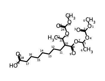 COC(=O)OC(C)OC(=O)C(CCCCCCCC(=O)O)C(C)OC(=O)OC